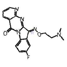 CN(C)CCO/N=C1\c2cc(F)ccc2-n2c1nc1ncccc1c2=O